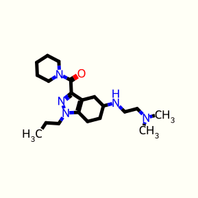 CCCn1nc(C(=O)N2CCCCC2)c2c1CCC(NCCN(C)C)C2